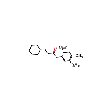 COc1cc(CC(=O)CCC2CCCCC2)c(OC)cc1C